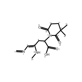 C=N/C=C(/CC(C(=O)O)N1C(=O)CCC(C)(C)C1=O)NC